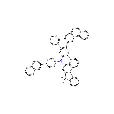 CC1(C)c2ccccc2-c2ccc(N(c3ccc(-c4ccc5ccccc5c4)cc3)c3cc(-c4ccccc4)c(-c4ccc5ccc6ccccc6c5c4)cc3-c3ccccc3)cc21